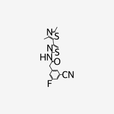 Cc1nc(C)c(-c2csc(NC(=O)Cc3cc(F)cc(C#N)c3)n2)s1